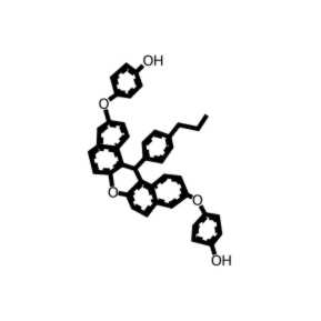 CCCc1ccc(C2c3c(ccc4cc(Oc5ccc(O)cc5)ccc34)Oc3ccc4cc(Oc5ccc(O)cc5)ccc4c32)cc1